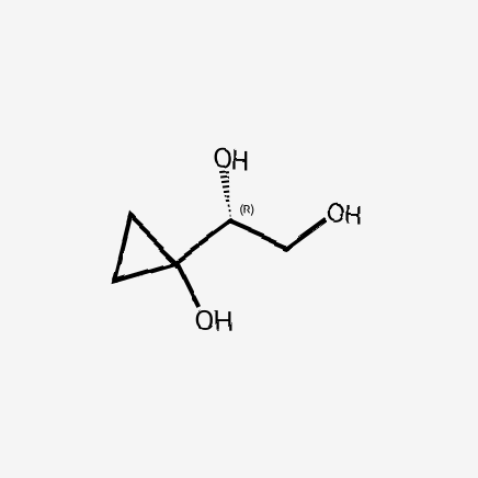 OC[C@@H](O)C1(O)CC1